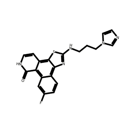 O=c1[nH]ccc2c3sc(NCCCn4ccnc4)nc3c3ccc(F)cc3c12